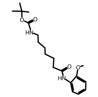 COc1ccccc1NC(=O)CCCCCCNC(=O)OC(C)(C)C